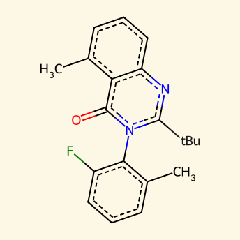 Cc1cccc(F)c1-n1c(C(C)(C)C)nc2cccc(C)c2c1=O